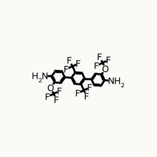 Nc1ccc(-c2cc(C(F)(F)F)c(-c3ccc(N)c(OC(F)(F)F)c3)cc2C(F)(F)F)cc1OC(F)(F)F